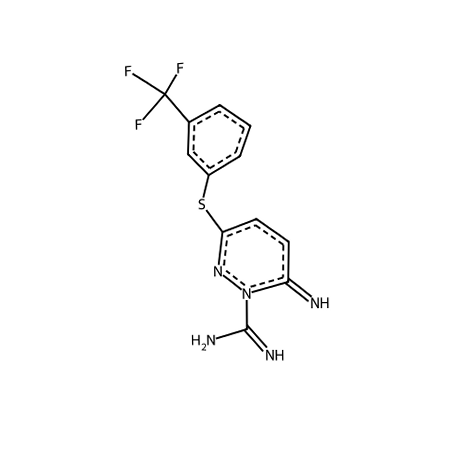 N=C(N)n1nc(Sc2cccc(C(F)(F)F)c2)ccc1=N